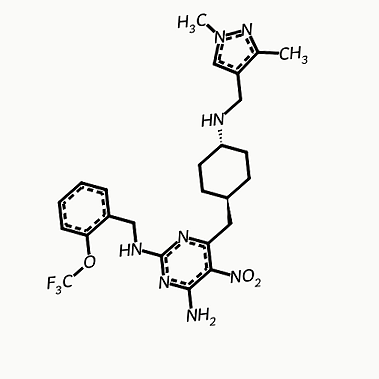 Cc1nn(C)cc1CN[C@H]1CC[C@H](Cc2nc(NCc3ccccc3OC(F)(F)F)nc(N)c2[N+](=O)[O-])CC1